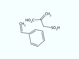 C=C(CS(=O)(=O)O)C(=O)O.C=Cc1ccccc1